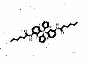 CCCCCC(=O)Nc1ccc(F)[c]([Ti]([c]2c(F)ccc(NC(=O)CCCCC)c2F)([CH]2C=CC=C2)[CH]2C=CC=C2)c1F